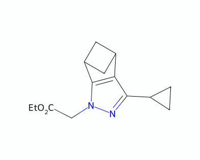 CCOC(=O)Cn1nc(C2CC2)c2c1C1CC2C1